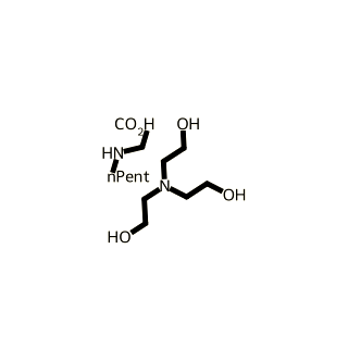 CCCCCNCC(=O)O.OCCN(CCO)CCO